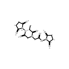 CCC(=O)N(CC(=O)ON1C(=O)CCC1=O)CC(=O)ON1C(=O)CCC1=O